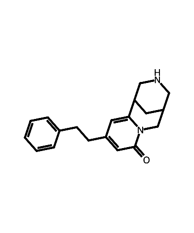 O=c1cc(CCc2ccccc2)cc2n1CC1CNCC2C1